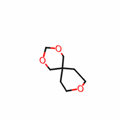 C1CC2(CCO1)COCOC2